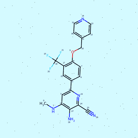 CNc1cc(-c2ccc(OCc3ccncc3)c(C(F)(F)F)c2)nc(C#N)c1N